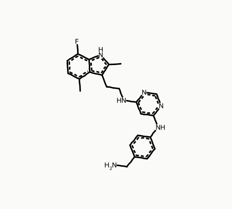 Cc1[nH]c2c(F)ccc(C)c2c1CCNc1cc(Nc2ccc(CN)cc2)ncn1